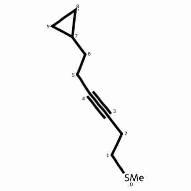 CSCCC#CCCC1[CH]C1